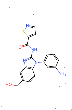 Nc1cccc(-n2c(NC(=O)c3ccns3)nc3cc(CO)ccc32)c1